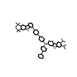 CC(C)c1cc2oc3cc(N(c4ccc(-c5ccccc5)cc4)c4ccc(-c5ccc(-c6cccc7c6sc6cc8c(cc67)C(C)(C)CCC8(C)C)cc5)cc4)ccc3c2cc1C(C)C